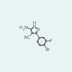 N#Cc1c(-c2ccc(Br)c(F)c2)n[nH]c1N